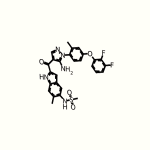 Cc1cc2[nH]c(C(=O)c3cnn(-c4ccc(Oc5cccc(F)c5F)cc4C)c3N)cc2cc1NS(C)(=O)=O